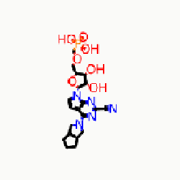 N#Cc1nc(N2CC3CCCC3C2)c2ccn([C@@H]3OC(COCP(=O)(O)O)[C@@H](O)[C@H]3O)c2n1